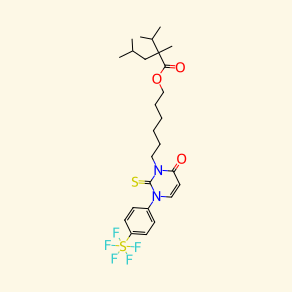 CC(C)CC(C)(C(=O)OCCCCCCn1c(=O)ccn(-c2ccc(S(F)(F)(F)(F)F)cc2)c1=S)C(C)C